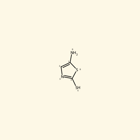 Nc1cnc(S)s1